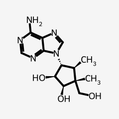 C[C@@H]1[C@@H](n2cnc3c(N)ncnc32)[C@H](O)[C@H](O)[C@@]1(C)CO